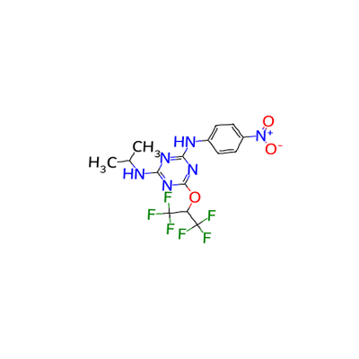 CC(C)Nc1nc(Nc2ccc([N+](=O)[O-])cc2)nc(OC(C(F)(F)F)C(F)(F)F)n1